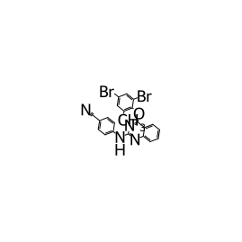 Cc1cc(Br)cc(Br)c1Oc1nc(Nc2ccc(C#N)cc2)nc2ccccc12